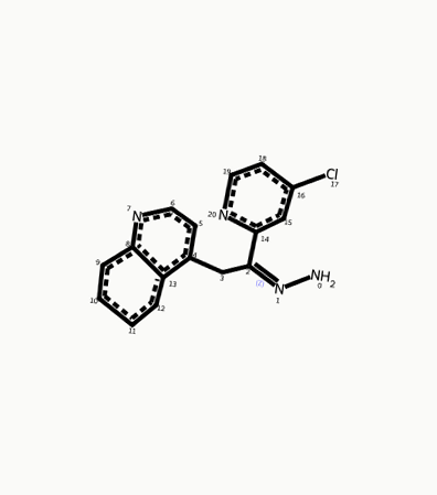 N/N=C(/Cc1ccnc2ccccc12)c1cc(Cl)ccn1